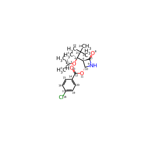 C[SiH](C)O[C@](C)([C@H]1C(=O)N[C@@H]1OC(=O)c1ccc(Cl)cc1)C(C)(C)C